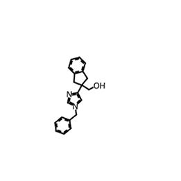 OCC1(c2cn(Cc3ccccc3)cn2)Cc2ccccc2C1